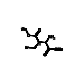 COC(=O)C(N)[C@@H](CBr)C(=O)OC(C)(C)C